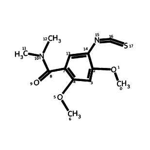 COc1cc(OC)c(C(=O)N(C)C)cc1N=C=S